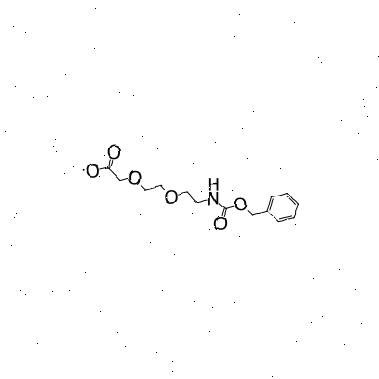 [O]C(=O)COCCOCCNC(=O)OCc1ccccc1